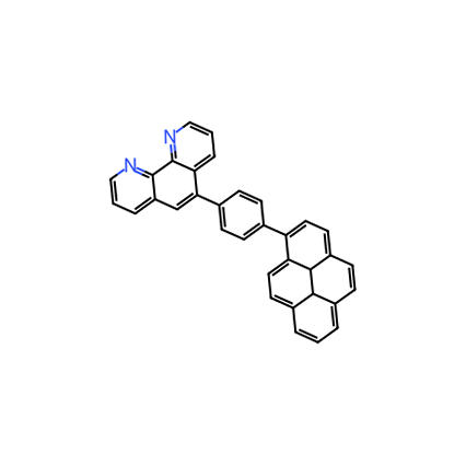 C1=CC2=CC=C3C(c4ccc(-c5cc6cccnc6c6ncccc56)cc4)=CC=C4C=CC(=C1)C2C43